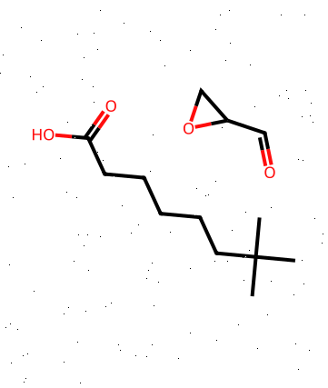 CC(C)(C)CCCCCC(=O)O.O=CC1CO1